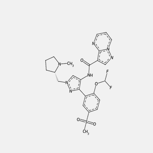 CN1CCC[C@H]1Cn1cc(NC(=O)c2cnn3cccnc23)c(-c2cc(S(C)(=O)=O)ccc2OC(F)F)n1